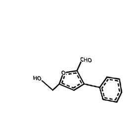 O=Cc1oc(CO)cc1-c1ccccc1